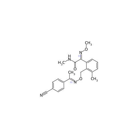 CNC(=O)/C(=N/OC)c1cccc(C)c1CO/N=C(\C)c1ccc(C#N)cc1